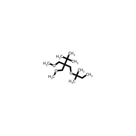 CCC(C)(C)OCC(COC)(COC)C(C)(C)C